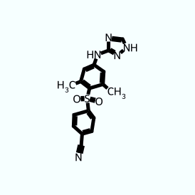 Cc1cc(Nc2nc[nH]n2)cc(C)c1S(=O)(=O)c1ccc(C#N)cc1